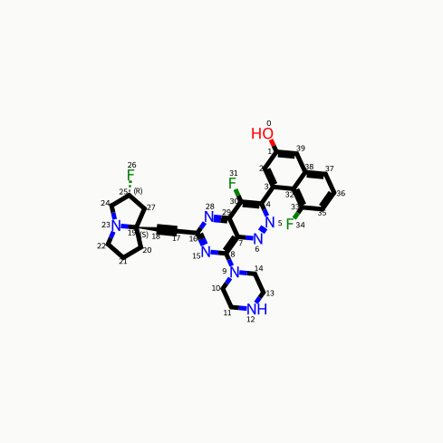 Oc1cc(-c2nnc3c(N4CCNCC4)nc(C#C[C@@]45CCCN4C[C@H](F)C5)nc3c2F)c2c(F)cccc2c1